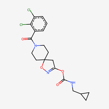 O=C(NCC1CC1)OC1=NOC2(CCN(C(=O)c3cccc(Cl)c3Cl)CC2)C1